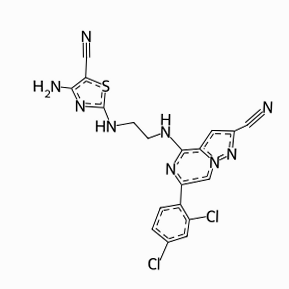 N#Cc1cc2c(NCCNc3nc(N)c(C#N)s3)nc(-c3ccc(Cl)cc3Cl)cn2n1